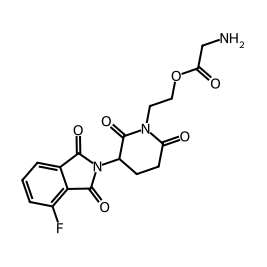 NCC(=O)OCCN1C(=O)CCC(N2C(=O)c3cccc(F)c3C2=O)C1=O